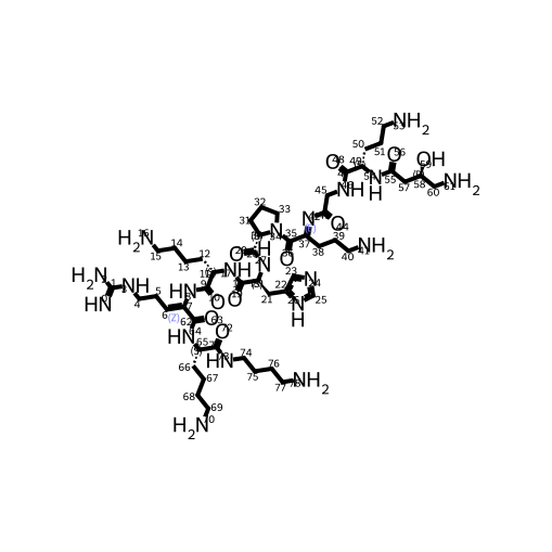 N=C(N)NCC/C=C(\NC(=O)[C@H](CCCCN)NC(=O)[C@H](Cc1cnc[nH]1)NC(=O)[C@@H]1CCCN1C(=O)/C(CCCN)=N/C(=O)CNC(=O)[C@H](CCCN)NC(=O)C[C@@H](O)CN)C(=O)N[C@@H](CCCCN)C(=O)NCCCCN